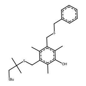 Cc1c(O)c(C)c(CSC(C)(C)CC(C)(C)C)c(C)c1CSCc1ccccc1